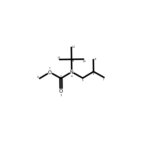 COC(=O)N(CC(C)C)C(C)(C)C